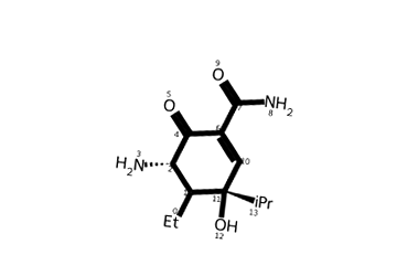 CCC1[C@H](N)C(=O)C(C(N)=O)=C[C@@]1(O)C(C)C